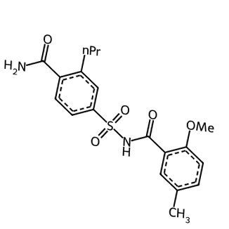 CCCc1cc(S(=O)(=O)NC(=O)c2cc(C)ccc2OC)ccc1C(N)=O